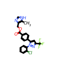 Cc1[nH]cnc1COC(=O)c1ccc(-c2cc(C(F)(F)F)nn2-c2ccccc2Cl)cc1